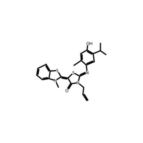 C=CCN1C(=O)/C(=C2/Sc3ccccc3N2C)S/C1=N\c1cc(C(C)C)c(O)cc1C